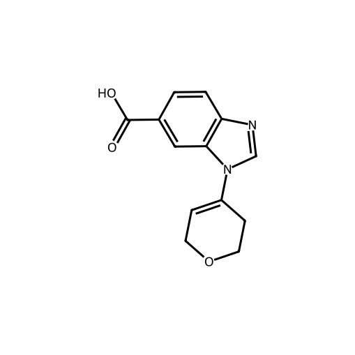 O=C(O)c1ccc2ncn(C3=CCOCC3)c2c1